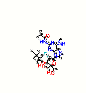 CNc1nc(NC(=O)C(C)C)nc2c1ncn2[C@@H]1OC(CO)(CO)C(O[Si](C)(C)C(C)(C)C)[C@H]1F